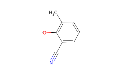 Cc1cccc(C#N)c1[O]